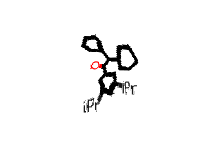 CC(C)c1[c]c(C(C)C)cc(C(=O)C(c2ccccc2)C2CCCCC2)c1